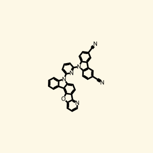 N#Cc1ccc2c(c1)c1cc(C#N)ccc1n2-c1cccc(-n2c3ccccc3c3c4oc5cccnc5c4ccc32)n1